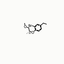 CCc1ccc(O[C@H](C)COC)c(Br)c1